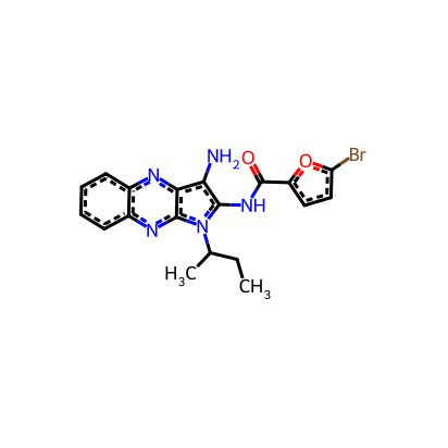 CCC(C)n1c(NC(=O)c2ccc(Br)o2)c(N)c2nc3ccccc3nc21